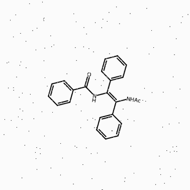 CC(=O)NC(=C(NC(=O)c1ccccc1)c1ccccc1)c1ccccc1